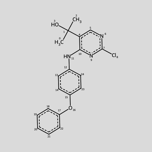 CC(C)(O)c1cnc(Cl)nc1Nc1ccc(Oc2ccccc2)cc1